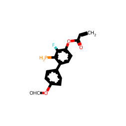 C=CC(=O)Oc1ccc(-c2ccc(OC=O)cc2)c(P)c1F